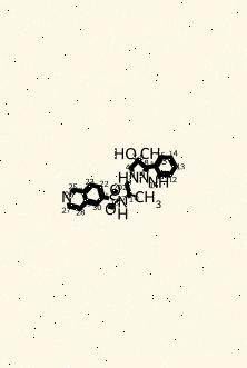 C[C@H](CNCC(C)(O)c1n[nH]c2ccccc12)NS(=O)(=O)c1ccc2cnccc2c1